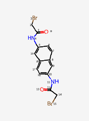 O=C(CBr)Nc1ccc2cc(NC(=O)CBr)ccc2c1